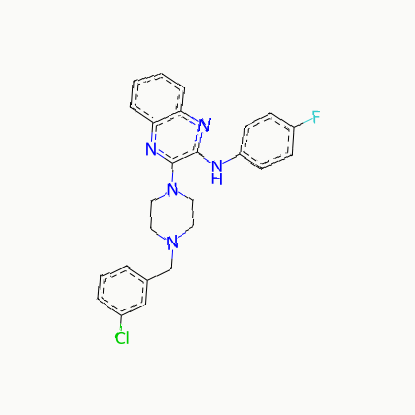 Fc1ccc(Nc2nc3ccccc3nc2N2CCN(Cc3cccc(Cl)c3)CC2)cc1